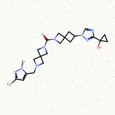 CCn1nc(C(F)(F)F)cc1CN1CC2(C1)CN(C(=O)N1CC3(CC(n4cnc(C5(O)CC5)n4)C3)C1)C2